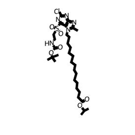 Cc1nc2nc(Cl)nc(S(=O)(=O)CCNC(=O)OC(C)(C)C)c2n1CCCCCCCCCCCCCCCC(=O)OC(C)C